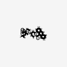 CC1(C)CC2(CN(C3CCN(C(=O)c4c5ccccc5cc5ccccc45)CC3)CCN2)C(=O)O1